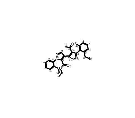 CCOC(=O)c1c(-c2onc(-c3c(F)cccc3CI)c2C(C)=O)cnn1-c1ccccc1OC